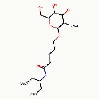 COCC(COC)NC(=O)CCCCOC1OC(CO)C(O)C(O)C1NC(C)=O